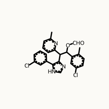 Cc1cccc(C(c2nc[nH]c2-c2cccc(Cl)c2)C(OC=O)c2cc(Cl)ccc2C)n1